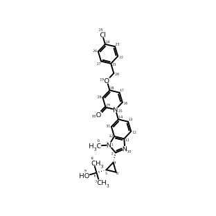 Cn1c([C@@H]2C[C@@H]2C(C)(C)O)nc2ccc(-n3ccc(OCc4ccc(Cl)cc4)cc3=O)cc21